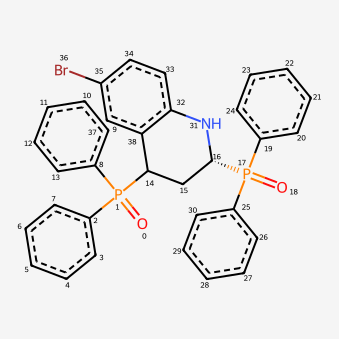 O=P(c1ccccc1)(c1ccccc1)C1C[C@@H](P(=O)(c2ccccc2)c2ccccc2)Nc2ccc(Br)cc21